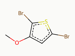 COc1cc(Br)sc1Br